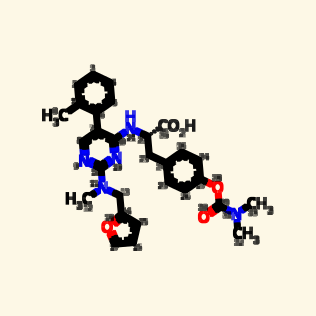 Cc1ccccc1-c1cnc(N(C)Cc2ccco2)nc1N[C@@H](Cc1ccc(OC(=O)N(C)C)cc1)C(=O)O